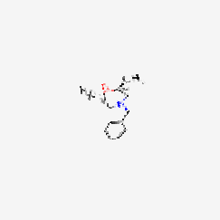 C[C@H]1CN(Cc2ccccc2)C[C@H](C)O1